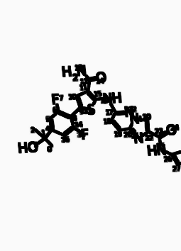 CC(C)(O)c1cc(F)c(-c2cc(C(N)=O)c(Nc3ccc4nc(C(=O)NC5=CC=C5)cn4n3)s2)c(F)c1